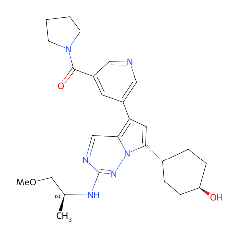 COC[C@H](C)Nc1ncc2c(-c3cncc(C(=O)N4CCCC4)c3)cc([C@H]3CC[C@H](O)CC3)n2n1